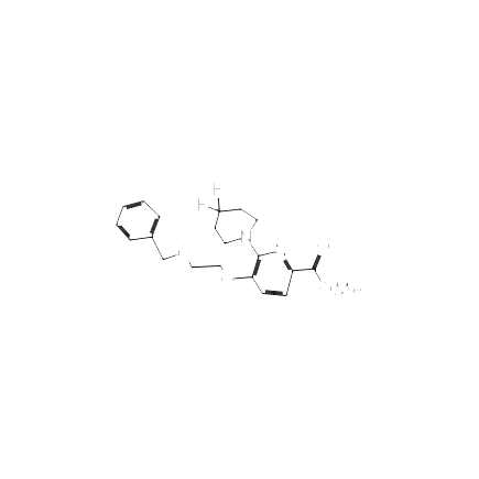 COC(=O)c1ccc(OCCOCc2ccccc2)c(N2CCC(F)(F)CC2)n1